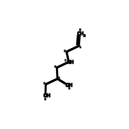 C=C[CH]NCC(O)CO